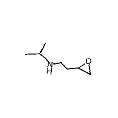 CC(C)NCCC1CO1